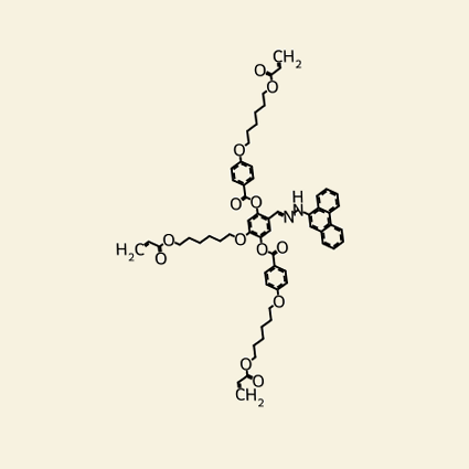 C=CC(=O)OCCCCCCOc1ccc(C(=O)Oc2cc(OCCCCCCOC(=O)C=C)c(OC(=O)c3ccc(OCCCCCCOC(=O)C=C)cc3)cc2/C=N/Nc2cc3ccccc3c3ccccc23)cc1